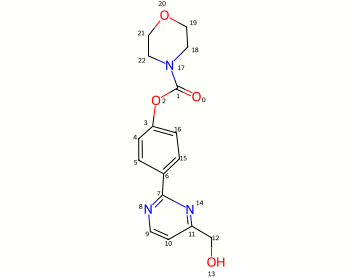 O=C(Oc1ccc(-c2nccc(CO)n2)cc1)N1CCOCC1